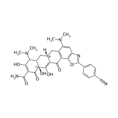 CN(C)c1cc2nc(-c3ccc(C#N)cc3)oc2c2c1C[C@H]1CC3C(N(C)C)C(O)=C(C(N)=O)C(=O)[C@@]3(O)C(O)=C1C2=O